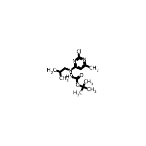 Cc1cc(N(CC(C)C)NC(=O)OC(C)(C)C)nc(Cl)n1